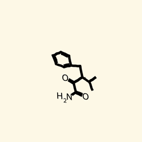 CC(C)[C](Cc1ccccc1)C(=O)C(N)=O